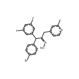 Cc1cc(C/C(=N/O)C(c2ccc(Br)cc2)c2cc(F)cc(F)c2)ccn1